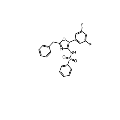 O=S(=O)(Nc1nc(Cc2ccccc2)oc1-c1cc(F)cc(F)c1)c1ccccc1